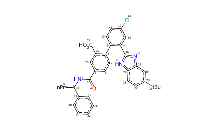 CCC[C@@H](NC(=O)c1ccc(-c2ccc(Cl)cc2-c2nc3cc(C(C)(C)C)ccc3[nH]2)c(C(=O)O)c1)c1ccccc1